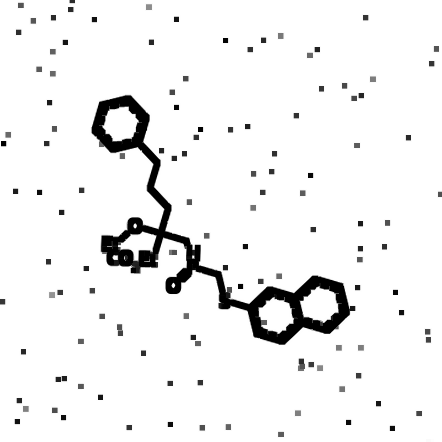 CCOC(=O)C(CCCc1ccccc1)(C[PH](=O)CSc1ccc2ccccc2c1)OCC